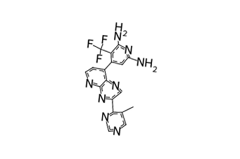 Cc1cncnc1-c1cnc2c(-c3cc(N)nc(N)c3C(F)(F)F)ccnc2n1